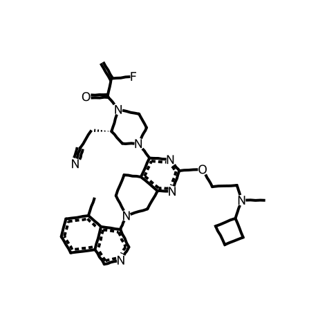 C=C(F)C(=O)N1CCN(c2nc(OCCN(C)C3CCC3)nc3c2CCN(c2cncc4cccc(C)c24)C3)C[C@@H]1CC#N